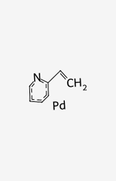 C=Cc1ccccn1.[Pd]